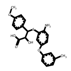 COc1ccc(C(Sc2cc(Oc3cccc(C)c3)ccc2N)C(O)C(=O)O)cc1